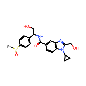 CC[S+]([O-])c1ccc(C(CO)NC(=O)c2ccc3c(c2)nc(CO)n3C2CC2)cc1